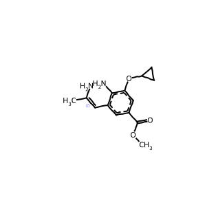 COC(=O)c1cc(/C=C(/C)N)c(N)c(OC2CC2)c1